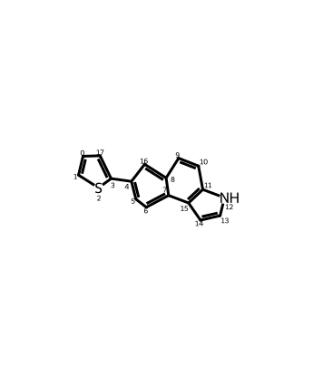 c1csc(-c2ccc3c(ccc4[nH]ccc43)c2)c1